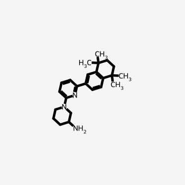 CC1(C)CCC(C)(C)c2cc(-c3cccc(N4CCCC(N)C4)n3)ccc21